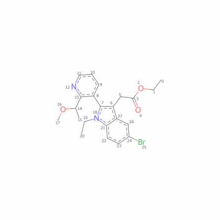 CCOC(=O)Cc1c(-c2cccnc2C(C)OC)n(CC)c2ccc(Br)cc12